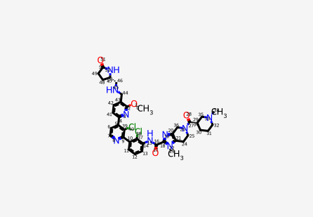 COc1nc(-c2ccnc(-c3cccc(NC(=O)c4nc5c(n4C)CCN(C(=O)[C@@H]4CCCN(C)C4)C5)c3Cl)c2Cl)ccc1CNC[C@@H]1CCC(=O)N1